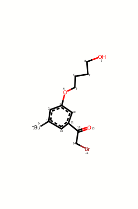 CC(C)(C)c1cc(OCCCCO)cc(C(=O)CBr)c1